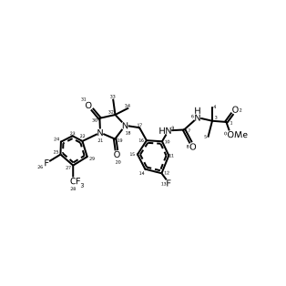 COC(=O)C(C)(C)NC(=O)Nc1cc(F)ccc1CN1C(=O)N(c2ccc(F)c(C(F)(F)F)c2)C(=O)C1(C)C